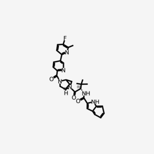 Cc1nc(-c2ccc(C(=O)N3C[C@@H]4CC3CN4C(=O)[C@@H](NC(=O)c3cc4ccccc4[nH]3)C(C)(C)C)nc2)ccc1F